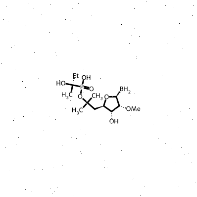 B[C@@H]1O[C@H](CC(C)(C)OP(=O)(O)[C@@](C)(O)CC)[C@@H](O)[C@H]1OC